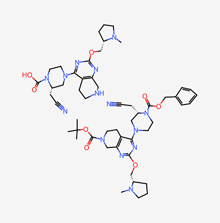 CN1CCC[C@H]1COc1nc2c(c(N3CCN(C(=O)O)[C@@H](CC#N)C3)n1)CCNC2.CN1CCC[C@H]1COc1nc2c(c(N3CCN(C(=O)OCc4ccccc4)[C@@H](CC#N)C3)n1)CCN(C(=O)OC(C)(C)C)C2